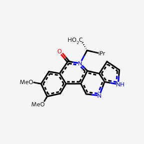 COc1cc2c(=O)n([C@H](C(=O)O)C(C)C)c3c4cc[nH]c4ncc3c2cc1OC